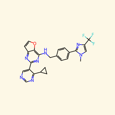 Cn1cc(C(F)(F)F)nc1-c1ccc(CNc2nc(-c3cncnc3C3CC3)nc3ccoc23)cc1